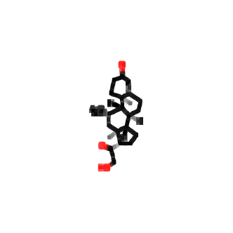 CC(=O)O[C@H]1C[C@]2(C)[C@@H](C(=O)CO)CC[C@H]2[C@@H]2CCC3=CC(=O)CC[C@]3(C)[C@H]21.[NaH]